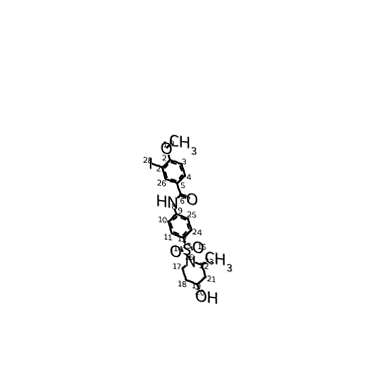 COc1ccc(C(=O)Nc2ccc(S(=O)(=O)N3CCC(O)CC3C)cc2)cc1I